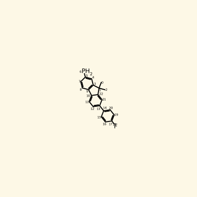 CC1(C)c2cc(P)ccc2-c2ccc(-c3ccc(F)cc3)cc21